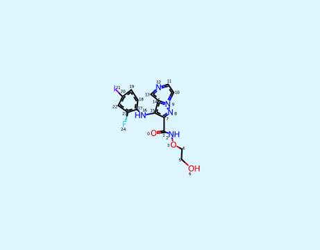 O=C(NOCCO)c1nn2ccncc2c1Nc1ccc(I)cc1F